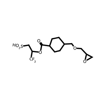 O=C(OC(CS(=O)(=O)O)C(F)(F)F)C1CCC(COCC2CO2)CC1